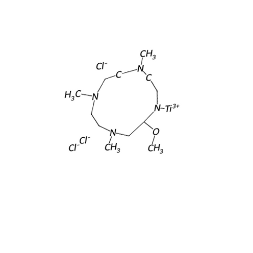 COC1CN(C)CCN(C)CCN(C)CC[N]1[Ti+3].[Cl-].[Cl-].[Cl-]